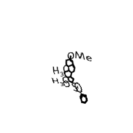 COC1=CC2=CCC3C(CC[C@]4(C)C(=O)C(SOc5ccccc5)CC34)[C@@]2(C)CC1